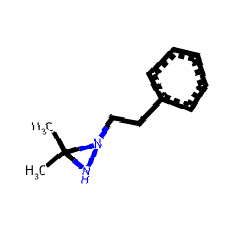 CC1(C)NN1CCc1ccccc1